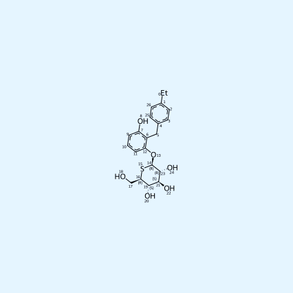 CCc1ccc(Cc2c(O)cccc2O[C@@H]2S[C@H](CO)[C@@H](O)[C@H](O)[C@H]2O)cc1